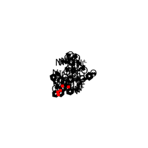 COc1ccc(CO[C@H](C(=O)N[C@H]2[C@H](O)[C@@H](O[C@@H]3O[C@H](COC(C)=O)[C@@H](OC4OC(CN=[N+]=[N-])C(OC(C)=O)C(OC(C)=O)C4N=[N+]=[N-])[C@H]3OC(C)=O)[C@H](O[C@H]3O[C@H]([C@@H](C)N(Cc4ccccc4)C(=O)OCc4ccccc4)CC[C@H]3N=[N+]=[N-])[C@@H](NC(=O)OCc3ccccc3)[C@@H]2OCc2ccccc2)[C@H](F)CN=[N+]=[N-])cc1